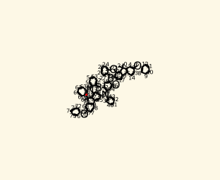 CC1(C)c2cc(Oc3ccccc3)ccc2-c2cc3c4c(c21)Oc1ccccc1B4c1cc2c(cc1O3)N(c1ccccc1)c1cc3c(c4c1B2c1ccccc1N4c1ccccc1)C(C)(C)c1cc(Oc2ccccc2)ccc1-3